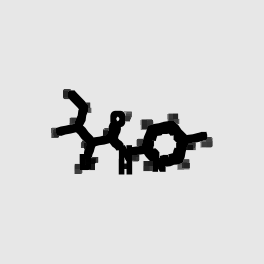 CCC(C)C(Br)C(=O)Nc1ccc(C)cn1